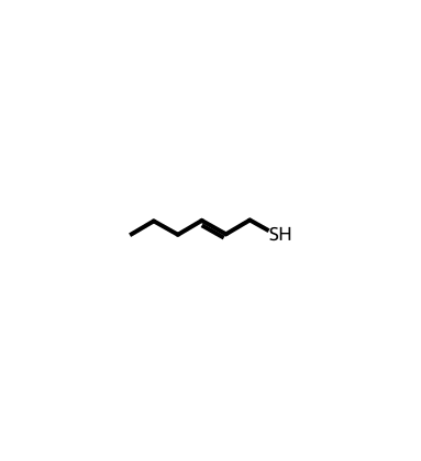 CCC/C=C/CS